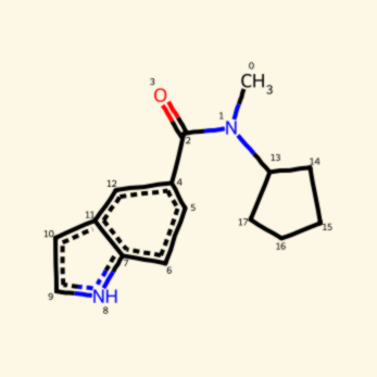 CN(C(=O)c1ccc2[nH]ccc2c1)C1CCCC1